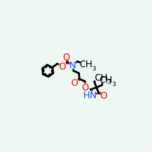 CCN(CCC(=O)CO[C@H]1NC(=O)C1(CC)CC)C(=O)OCc1ccccc1